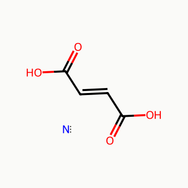 O=C(O)C=CC(=O)O.[N]